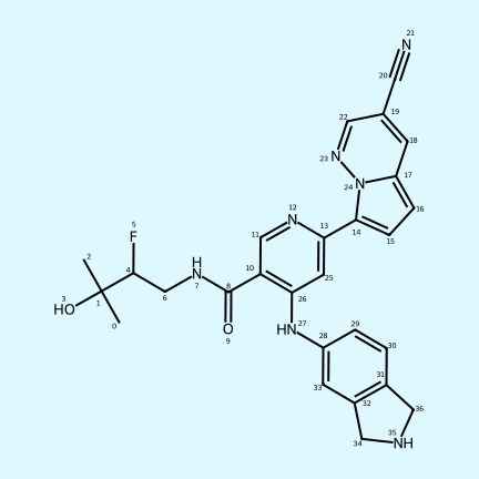 CC(C)(O)C(F)CNC(=O)c1cnc(-c2ccc3cc(C#N)cnn23)cc1Nc1ccc2c(c1)CNC2